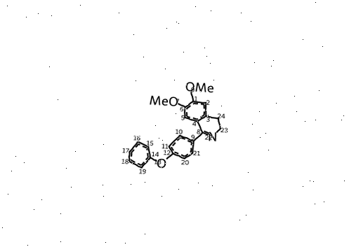 COc1cc2c(cc1OC)C(c1ccc(Oc3ccccc3)cc1)=NCC2